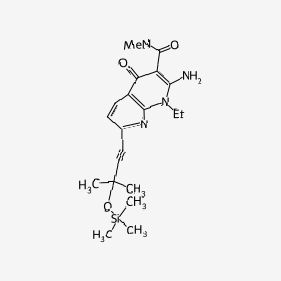 CCn1c(N)c(C(=O)NC)c(=O)c2ccc(C#CC(C)(C)O[Si](C)(C)C)nc21